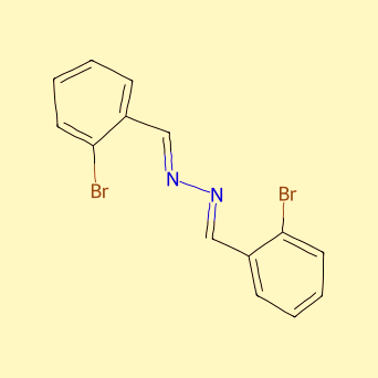 Brc1ccccc1C=N/N=C/c1ccccc1Br